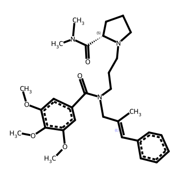 COc1cc(C(=O)N(CCCN2CCC[C@H]2C(=O)N(C)C)C/C(C)=C/c2ccccc2)cc(OC)c1OC